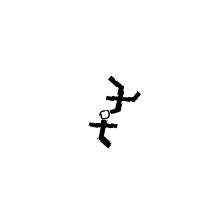 CCC(C)(CC)COC(C)(C)CC